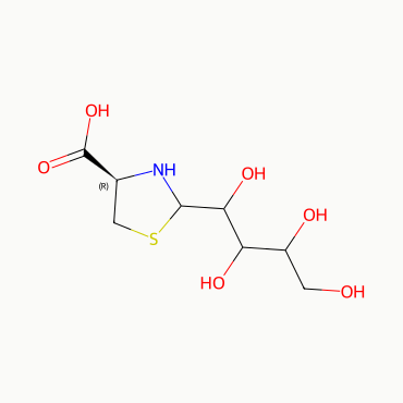 O=C(O)[C@@H]1CSC(C(O)C(O)C(O)CO)N1